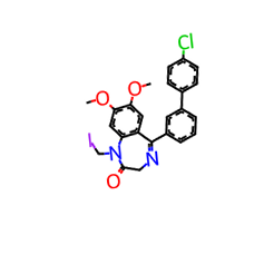 COc1cc2c(cc1OC)N(CI)C(=O)CN=C2c1cccc(-c2ccc(Cl)cc2)c1